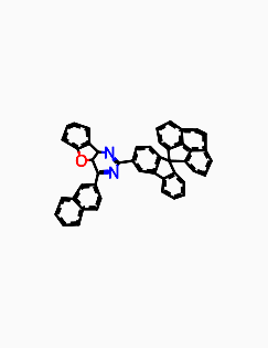 c1ccc2c(c1)OC1C(c3ccc4ccccc4c3)=NC(c3ccc4c(c3)-c3ccccc3C43c4cccc5ccc6cccc3c6c45)=NC21